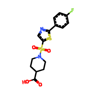 O=C(O)C1CCN(S(=O)(=O)c2cnc(-c3ccc(F)cc3)s2)CC1